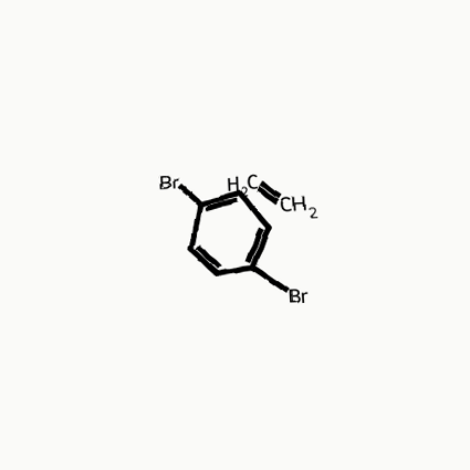 Brc1ccc(Br)cc1.C=C